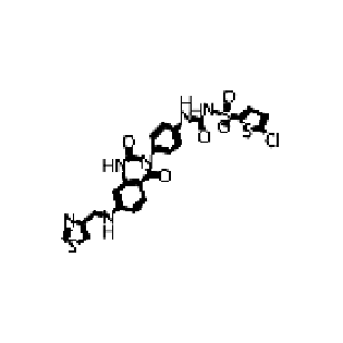 O=C(Nc1ccc(-n2c(=O)[nH]c3cc(NCc4cscn4)ccc3c2=O)cc1)NS(=O)(=O)c1ccc(Cl)s1